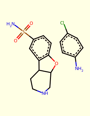 NS(=O)(=O)c1ccc2c(c1)C1CCNCC1O2.Nc1ccc(Cl)cc1